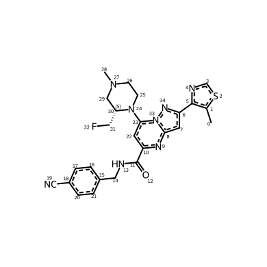 Cc1scnc1-c1cc2nc(C(=O)NCc3ccc(C#N)cc3)cc(N3CCN(C)C[C@H]3CF)n2n1